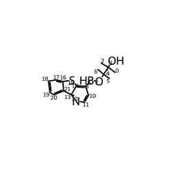 CC(C)(O)C(C)(C)OBc1ccnc2c1sc1ccccc12